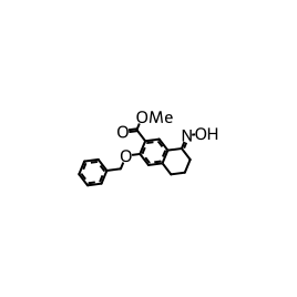 COC(=O)c1cc2c(cc1OCc1ccccc1)CCCC2=NO